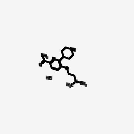 CN(C)CCOc1ccc(C(N)=O)nc1C1CCNCC1.Cl